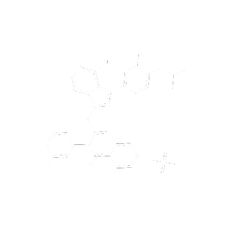 CC(C)Oc1ccc(-c2nn([C@@H](C)c3oc4cccc(F)c4c(=O)c3-c3cccc(F)c3)c3ncnc(N)c23)cc1F.O=S(=O)(O)O